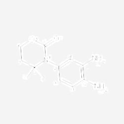 CC1(C)CCOC(=O)N1c1ccc(N)c(N)c1